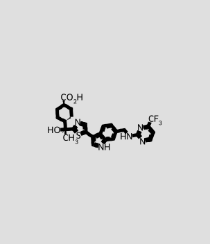 C[C@](O)(c1ncc(-c2c[nH]c3cc(CNc4nccc(C(F)(F)F)n4)ccc23)s1)[C@H]1CC[C@H](C(=O)O)CC1